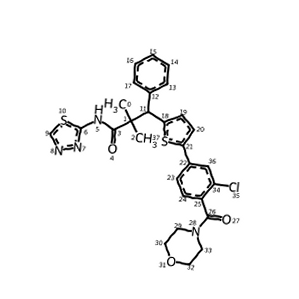 CC(C)(C(=O)Nc1nncs1)C(c1ccccc1)c1ccc(-c2ccc(C(=O)N3CCOCC3)c(Cl)c2)s1